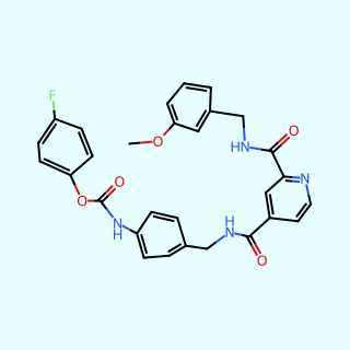 COc1cccc(CNC(=O)c2cc(C(=O)NCc3ccc(NC(=O)Oc4ccc(F)cc4)cc3)ccn2)c1